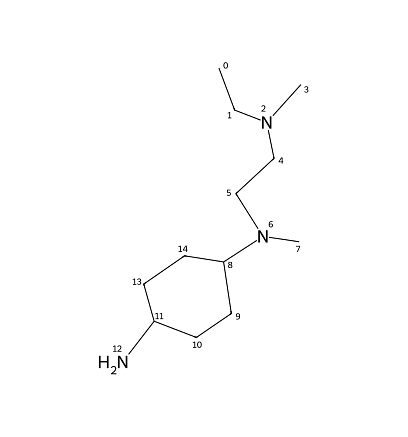 CCN(C)CCN(C)C1CCC(N)CC1